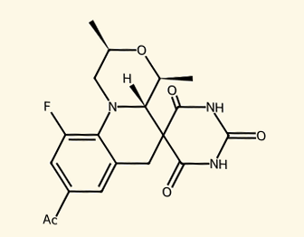 CC(=O)c1cc(F)c2c(c1)CC1(C(=O)NC(=O)NC1=O)[C@H]1[C@H](C)O[C@H](C)CN21